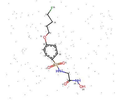 O=C(CNS(=O)(=O)c1ccc(OCCCCF)cc1)NO